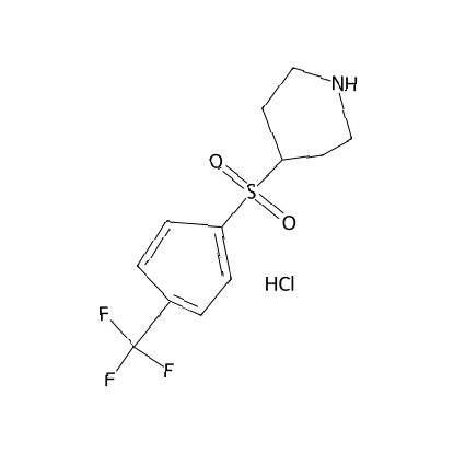 Cl.O=S(=O)(c1ccc(C(F)(F)F)cc1)C1CCNCC1